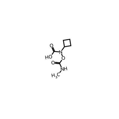 CNC(=O)ON(C(=O)O)C1CCC1